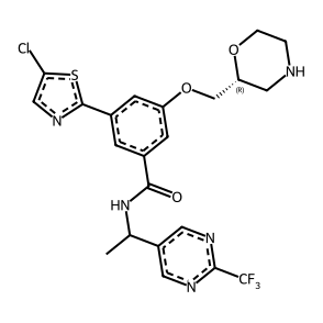 CC(NC(=O)c1cc(OC[C@H]2CNCCO2)cc(-c2ncc(Cl)s2)c1)c1cnc(C(F)(F)F)nc1